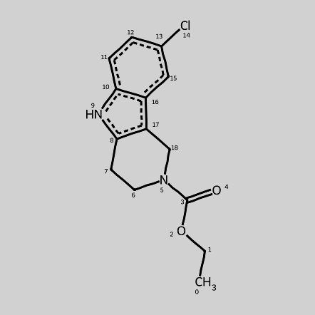 CCOC(=O)N1CCc2[nH]c3ccc(Cl)cc3c2C1